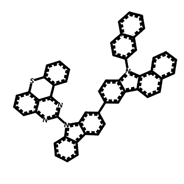 c1ccc2c(c1)Sc1cccc3nc(-n4c5ccccc5c5ccc(-c6ccc7c(c6)c6ccc8ccccc8c6n7-c6ccc7ccccc7c6)cc54)nc-2c13